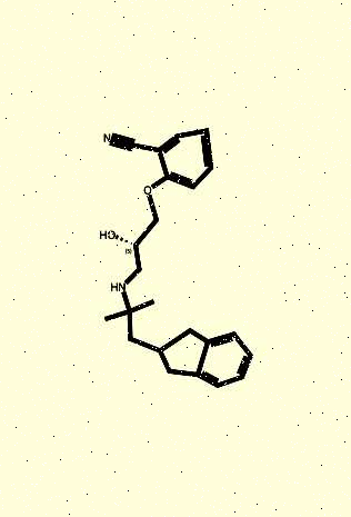 CC(C)(CC1Cc2ccccc2C1)NC[C@H](O)COc1ccccc1C#N